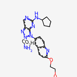 CCOCCOc1ccc2cc(-n3nnc4cnc(NC5CCCC5)nc43)ccc2n1.NC(=O)O